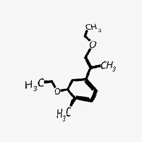 CCOCC(C)C1=CC=C(C)C(OCC)C1